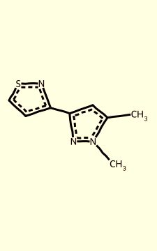 Cc1cc(-c2ccsn2)nn1C